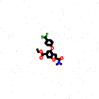 CCOC(=O)c1cc(Oc2ccc(C(F)F)cc2)c2cc(C(=O)N(C)C)oc2c1